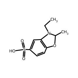 CCN1c2cc(S(=O)(=O)O)ccc2OC1C